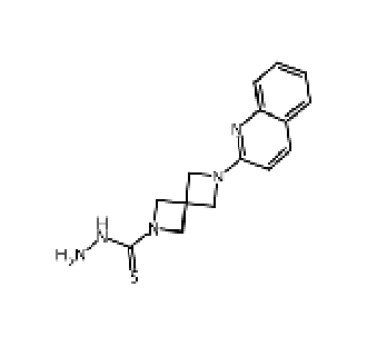 NNC(=S)N1CC2(C1)CN(c1ccc3ccccc3n1)C2